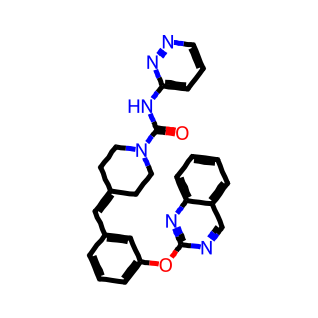 O=C(Nc1cccnn1)N1CCC(=Cc2cccc(Oc3ncc4ccccc4n3)c2)CC1